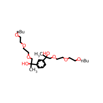 CCCCOCCOCCOCC(C)(O)c1cccc(C(C)(O)COCCOCCOCCCC)c1